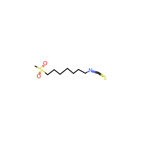 CS(=O)(=O)CCCCCCCN=C=S